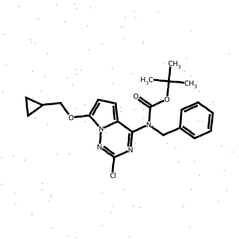 CC(C)(C)OC(=O)N(Cc1ccccc1)c1nc(Cl)nn2c(OCC3CC3)ccc12